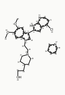 COc1cc2c(-c3cc4c(Cl)ccnc4[nH]3)cn(CCN3CCC(CCO)CC3)c2cc1OC.c1ccncc1